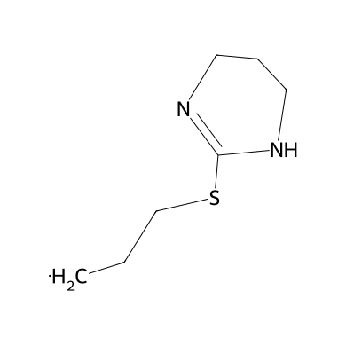 [CH2]CCSC1=NCCCN1